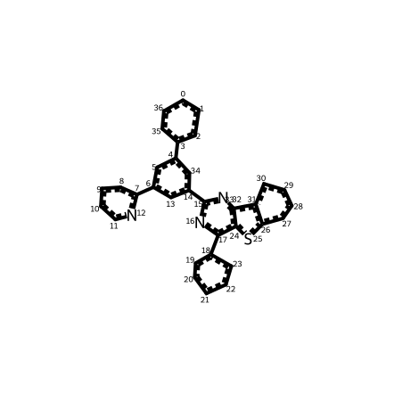 c1ccc(-c2cc(-c3ccccn3)cc(-c3nc(-c4ccccc4)c4sc5ccccc5c4n3)c2)cc1